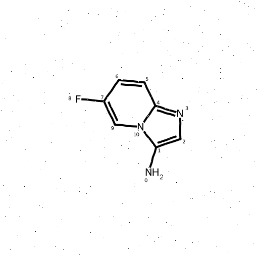 Nc1cnc2ccc(F)cn12